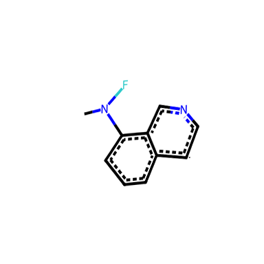 CN(F)c1cccc2[c]cncc12